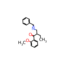 CCC(C/N=C/c1ccccc1)C(=O)c1ccccc1OC